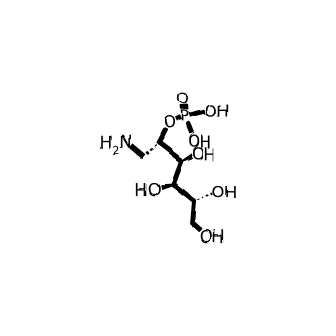 NC[C@H](OP(=O)(O)O)[C@@H](O)[C@H](O)[C@H](O)CO